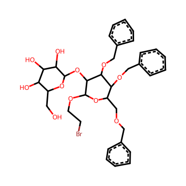 OCC1OC(OC2C(OCCBr)OC(COCc3ccccc3)C(OCc3ccccc3)C2OCc2ccccc2)C(O)C(O)C1O